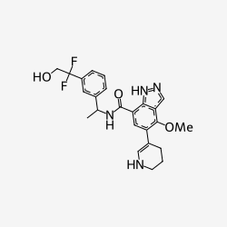 COc1c(C2=CNCCC2)cc(C(=O)NC(C)c2cccc(C(F)(F)CO)c2)c2[nH]ncc12